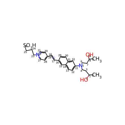 CC(O)CCN(CCC(C)O)c1ccc2cc(/C=C/c3cc[n+](CCCS(=O)(=O)O)cc3)ccc2c1